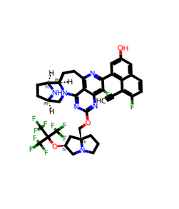 C#Cc1c(F)ccc2cc(O)cc(-c3nc4c5c(nc(OC[C@@]67CCCN6C[C@@H](OC(C(F)(F)F)(C(F)(F)F)C(F)(F)F)C7)nc5c3F)N3C[C@H]5CC[C@H](N5)[C@H]3CC4)c12